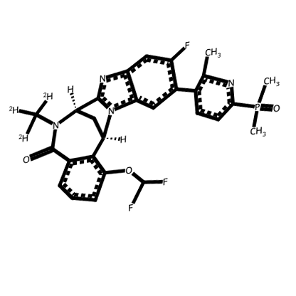 [2H]C([2H])([2H])N1C(=O)c2cccc(OC(F)F)c2[C@H]2C[C@@H]1c1nc3cc(F)c(-c4ccc(P(C)(C)=O)nc4C)cc3n12